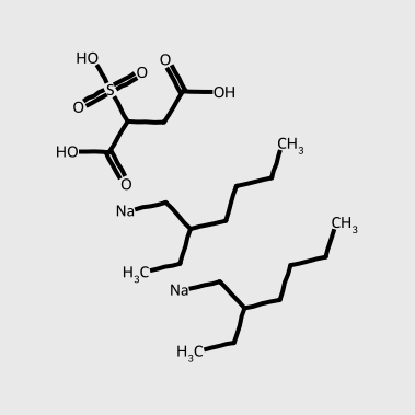 CCCCC(CC)[CH2][Na].CCCCC(CC)[CH2][Na].O=C(O)CC(C(=O)O)S(=O)(=O)O